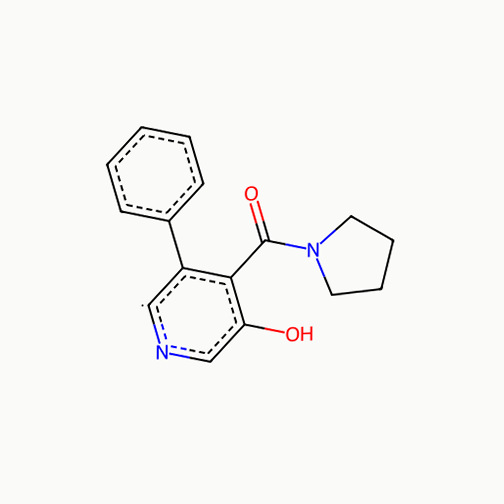 O=C(c1c(-c2ccccc2)[c]ncc1O)N1CCCC1